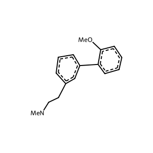 CNCCc1cccc(-c2ccccc2OC)c1